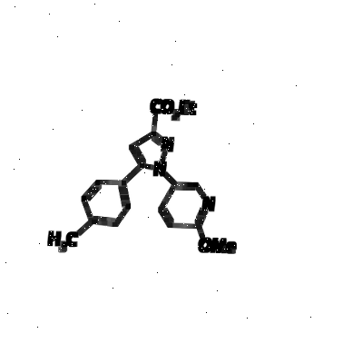 CCOC(=O)c1cc(-c2ccc(C)cc2)n(-c2ccc(OC)nc2)n1